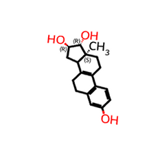 C[C@]12CCC3=C(CCc4cc(O)ccc43)C1C[C@@H](O)[C@@H]2O